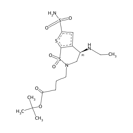 CCN[C@H]1CN(CCCC(=O)OC(C)(C)C)S(=O)(=O)c2sc(S(N)(=O)=O)cc21